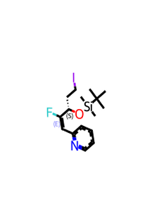 CC(C)(C)[Si](C)(C)O[C@@H](CCI)/C(F)=C\c1ccccn1